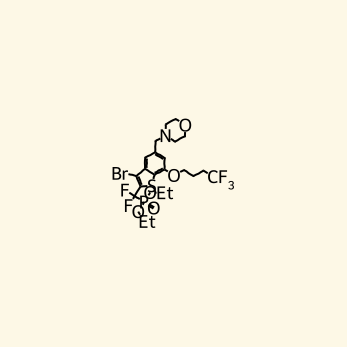 CCOP(=O)(OCC)C(F)(F)c1sc2c(OCCCC(F)(F)F)cc(CN3CCOCC3)cc2c1Br